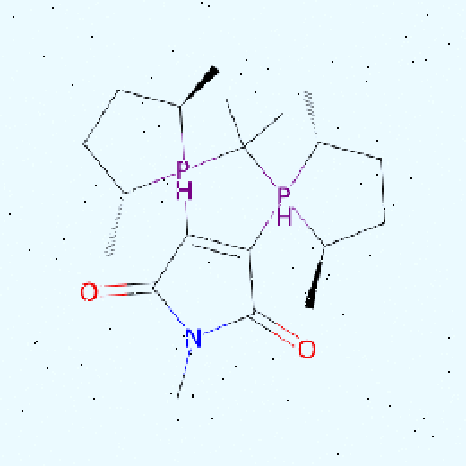 C[C@@H]1CC[C@@H](C)[PH]12C1=C(C(=O)N(C)C1=O)[PH]1([C@H](C)CC[C@H]1C)C2(C)C